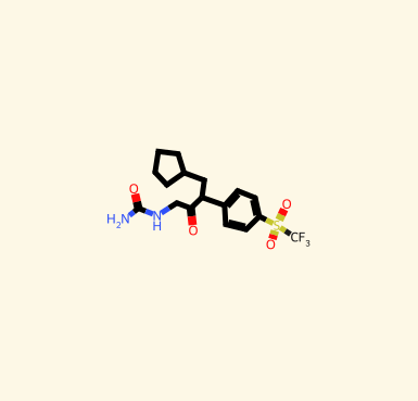 NC(=O)NCC(=O)C(CC1CCCC1)c1ccc(S(=O)(=O)C(F)(F)F)cc1